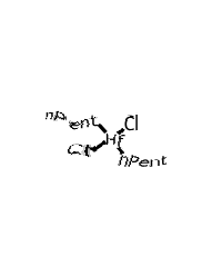 CCCC[CH2][Hf]([Cl])([Cl])[CH2]CCCC